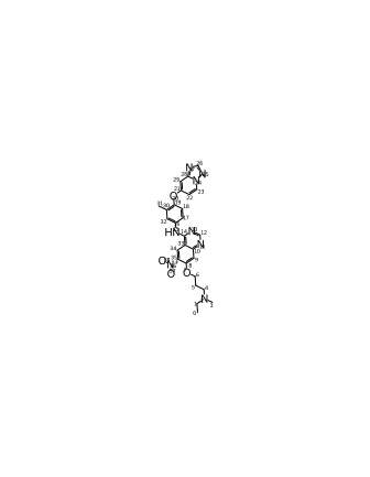 CCN(C)CCCOc1cc2ncnc(Nc3ccc(Oc4ccn5ncnc5c4)c(C)c3)c2cc1[N+](=O)[O-]